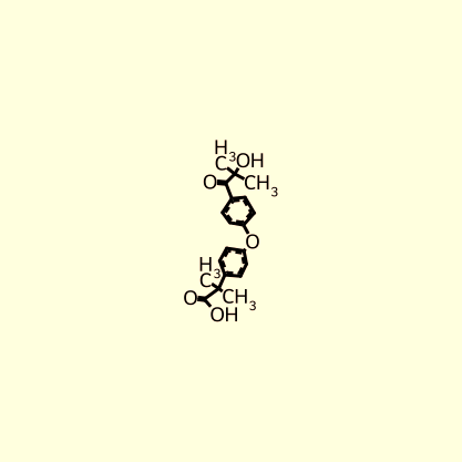 CC(C)(O)C(=O)c1ccc(Oc2ccc(C(C)(C)C(=O)O)cc2)cc1